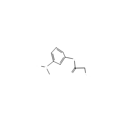 CN(C)c1cccc(NC(=O)C[N+](=O)[O-])c1